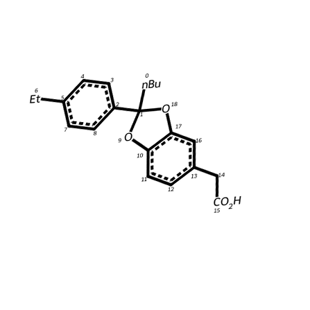 CCCCC1(c2ccc(CC)cc2)Oc2ccc(CC(=O)O)cc2O1